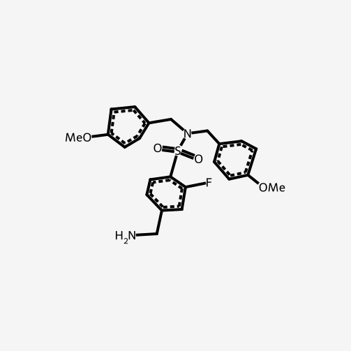 COc1ccc(CN(Cc2ccc(OC)cc2)S(=O)(=O)c2ccc(CN)cc2F)cc1